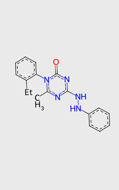 CCc1ccccc1-n1c(C)nc(NNc2ccccc2)nc1=O